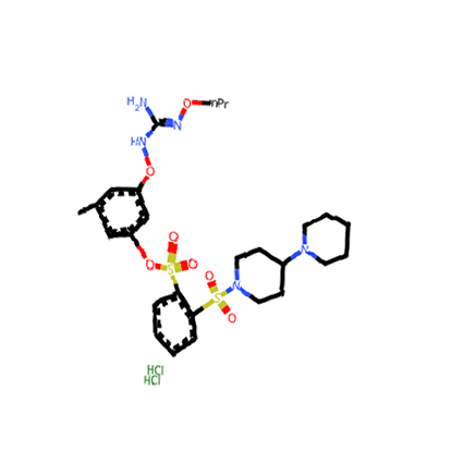 CCCON=C(N)NOc1cc(C)cc(OS(=O)(=O)c2ccccc2S(=O)(=O)N2CCC(N3CCCCC3)CC2)c1.Cl.Cl